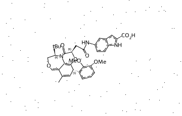 COc1cccc([C@@H]2C=C(C)C3=COC[C@@H](C(C)(C)C)N4C(=O)[C@@H](CC(=O)Nc5ccc6[nH]c(C(=O)O)cc6c5)OC2=C34)c1OC